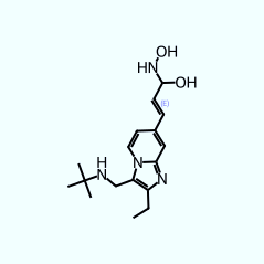 CCc1nc2cc(/C=C/C(O)NO)ccn2c1CNC(C)(C)C